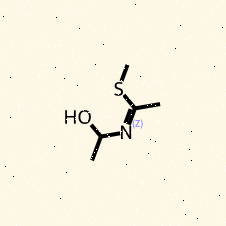 CS/C(C)=N\C(C)O